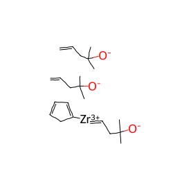 C=CCC(C)(C)[O-].C=CCC(C)(C)[O-].C=CCC(C)(C)[O-].[Zr+3][C]1=CC=CC1